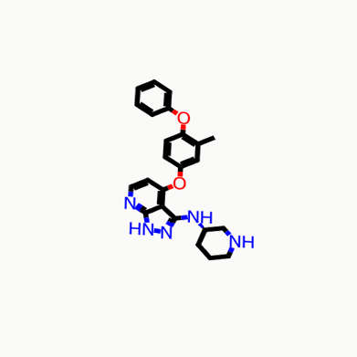 Cc1cc(Oc2ccnc3[nH]nc(N[C@@H]4CCCNC4)c23)ccc1Oc1ccccc1